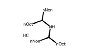 CCCCCCCCCC(CCCCCCCC)NC(CCCCCCCC)CCCCCCCCC.Cl